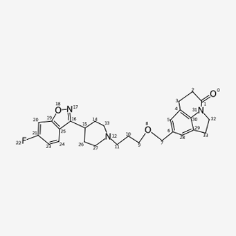 O=C1CCc2cc(COCCCN3CCC(c4noc5cc(F)ccc45)CC3)cc3c2N1CC3